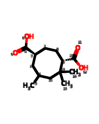 CC1C[C@@H](C(=O)O)CC[C@H](C(=O)O)C(C)(C)C1